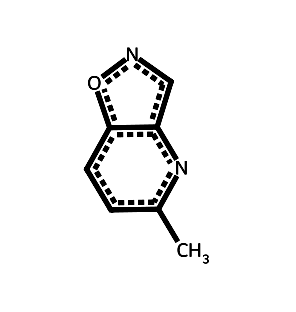 Cc1ccc2oncc2n1